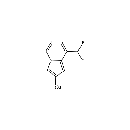 CC(C)(C)c1cc2c(C(F)F)cccn2c1